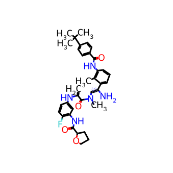 C=C(Nc1ccc(F)c(NC(=O)C2CCCO2)c1)C(=O)N(C)/C=C(\N)c1cccc(NC(=O)c2ccc(C(C)(C)C)cc2)c1C